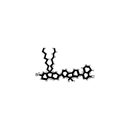 CCCCCCCCC1(CCCCCCCC)c2cc(Br)ccc2-c2ccc(-c3ccc4c(c3)C(C)(C)c3cc(-c5ccc(Cl)c6ccccc56)ccc3-4)cc21